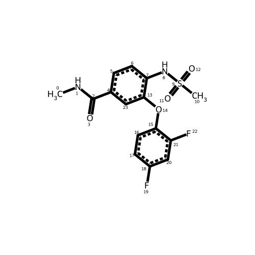 CNC(=O)c1ccc(NS(C)(=O)=O)c(Oc2ccc(F)cc2F)c1